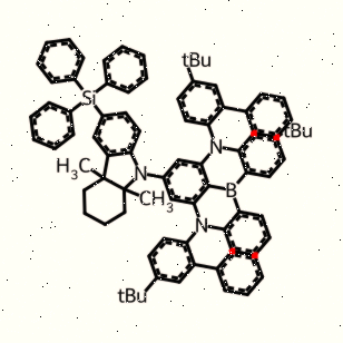 CC(C)(C)c1ccc(N2c3ccccc3B3c4ccc(C(C)(C)C)cc4N(c4ccc(C(C)(C)C)cc4-c4ccccc4)c4cc(N5c6ccc([Si](c7ccccc7)(c7ccccc7)c7ccccc7)cc6C6(C)CCCCC56C)cc2c43)c(-c2ccccc2)c1